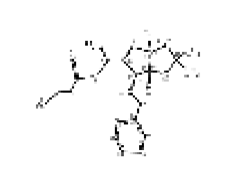 CC(=O)CCC(=O)O[C@@H](C(=O)O)[C@H]1O[C@]2(C)OC(C)(C)O[C@@H]2[C@H]1OCc1ccccc1